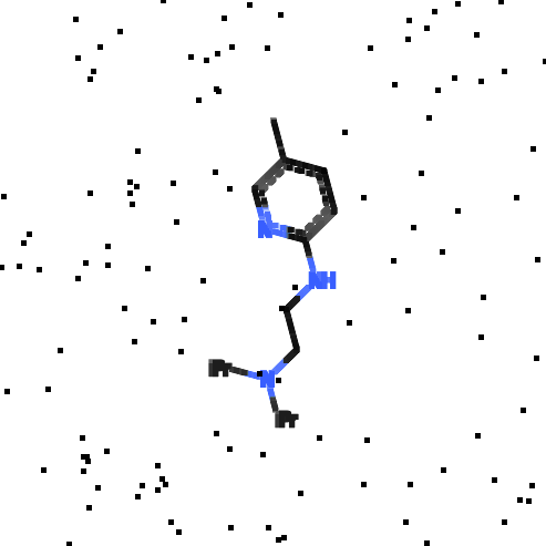 Cc1ccc(NCCN(C(C)C)C(C)C)nc1